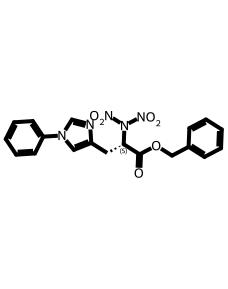 O=C(OCc1ccccc1)[C@H](Cc1cn(-c2ccccc2)cn1)N([N+](=O)[O-])[N+](=O)[O-]